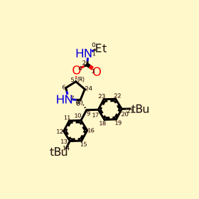 CCNC(=O)O[C@H]1CN[C@@H](C(c2ccc(C(C)(C)C)cc2)c2ccc(C(C)(C)C)cc2)C1